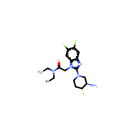 CC(C)CN(CC(F)(F)F)C(=O)Cn1c(N2CC[C@@H](F)[C@H](N)C2)nc2cc(F)c(F)cc21